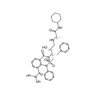 CCCN(CCC)C(=O)c1cccc(C(=O)N[C@@H](Cc2ccccc2)[C@H](O)CN[C@@H](C)C(=O)NC2CCCCC2)c1N(c1ccccc1)S(C)(=O)=O